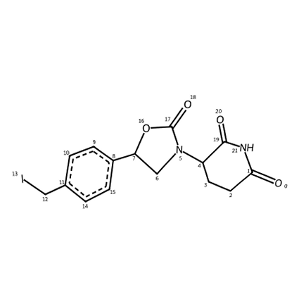 O=C1CCC(N2CC(c3ccc(CI)cc3)OC2=O)C(=O)N1